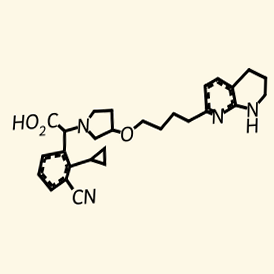 N#Cc1cccc(C(C(=O)O)N2CCC(OCCCCc3ccc4c(n3)NCCC4)C2)c1C1CC1